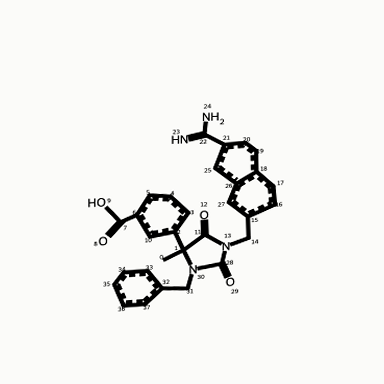 CC1(c2cccc(C(=O)O)c2)C(=O)N(Cc2ccc3ccc(C(=N)N)cc3c2)C(=O)N1Cc1ccccc1